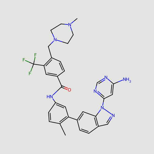 Cc1ccc(NC(=O)c2ccc(CN3CCN(C)CC3)c(C(F)(F)F)c2)cc1-c1ccc2cnn(-c3cc(N)ncn3)c2c1